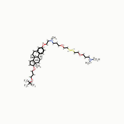 CN(CCCOCCSSCCOCCCN(C)C(=O)O)CCOc1ccc2c(c1)CC[C@@H]1[C@@H]2CC[C@]2(C)[C@@H](OCCCOC(C(F)(F)F)(C(F)(F)F)C(F)(F)F)CC[C@@H]12